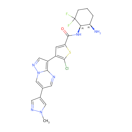 Cn1cc(-c2cnc3c(-c4cc(C(=O)N[C@@H]5[C@H](N)CCCC5(F)F)sc4Cl)cnn3c2)cn1